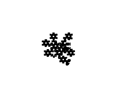 CC1OC(OC2C(C)C(Oc3ccc([N+](=O)[O-])cc3)OC(COCc3ccccc3)C2OC2OC(COCc3ccccc3)C(O)C(O)C2O)C(OCc2ccccc2)C(OCc2ccccc2)C1OCc1ccccc1